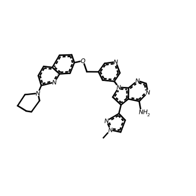 Cn1ccc(-c2cn(-c3cncc(COc4ccc5ccc(N6CCCCC6)nc5c4)c3)c3ncnc(N)c23)n1